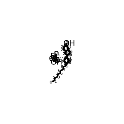 CCCCCCCCCCc1ccc(-c2ccc3cc(O)ccc3c2)nc1.O=S(=O)(O)C(F)(F)F